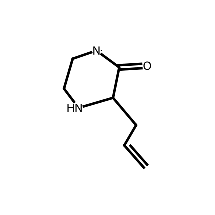 C=CCC1NCC[N]C1=O